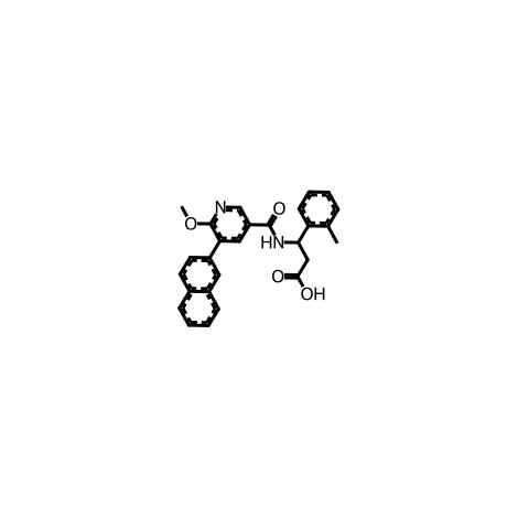 COc1ncc(C(=O)NC(CC(=O)O)c2ccccc2C)cc1-c1ccc2ccccc2c1